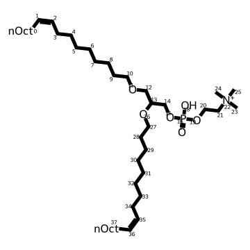 CCCCCCCC/C=C\CCCCCCCCOCC(COP(=O)(O)OCC[N+](C)(C)C)OCCCCCCCC/C=C\CCCCCCCC